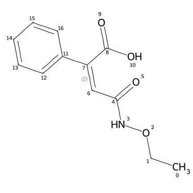 CCONC(=O)/C=C(\C(=O)O)c1ccccc1